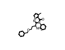 Cc1ccn2nc([C@@H](N)CCOCc3ccccc3)n(-c3ccccc3)c(=O)c12